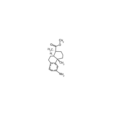 COC(=O)[C@@]1(C)CCC[C@]2(C)c3cc(N)ccc3CC[C@@H]12